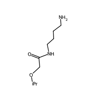 CC(C)OCC(=O)NCCCCN